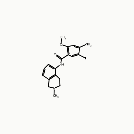 COc1cc(N)c(I)cc1C(=O)Nc1cccc2c1CCN(C)C2